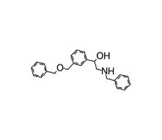 OC(CNCc1ccccc1)c1cccc(COCc2ccccc2)c1